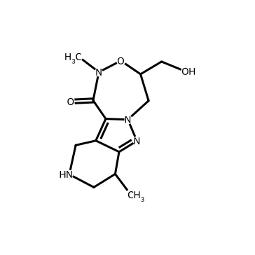 CC1CNCc2c1nn1c2C(=O)N(C)OC(CO)C1